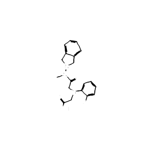 CN(C(=O)CN(CC(=O)O)c1ccccc1Cl)N1Cc2ccccc2C1